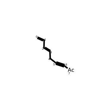 C=CC=CCC#CC(C)=O